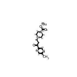 Cc1cnc(C(=O)CCN2CCN(C(=O)OC(C)(C)C)CC2)cn1